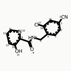 N#Cc1ccc(CNC(=O)c2ncccc2O)c(Cl)c1